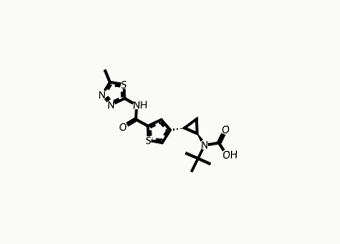 Cc1nnc(NC(=O)c2cc([C@@H]3C[C@H]3N(C(=O)O)C(C)(C)C)cs2)s1